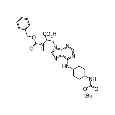 CC(C)(C)OC(=O)NC1CCC(Nc2ncnc3c2ncn3CC(NC(=O)OCc2ccccc2)C(=O)O)CC1